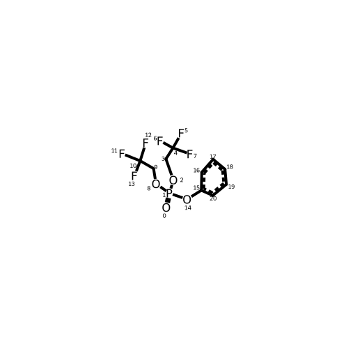 O=P(OCC(F)(F)F)(OCC(F)(F)F)Oc1ccccc1